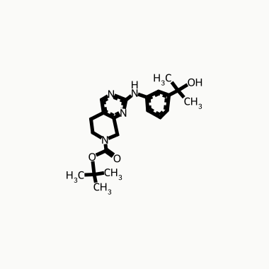 CC(C)(C)OC(=O)N1CCc2cnc(Nc3cccc(C(C)(C)O)c3)nc2C1